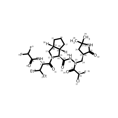 CCC(CC)[C@H](NC(=O)C(F)F)C(=O)N1C[C@@H]2CCC[C@@H]2[C@H]1C(=O)NN(C[C@H]1CC(C)(C)NC1=O)C(=O)[C@@H](F)Cl